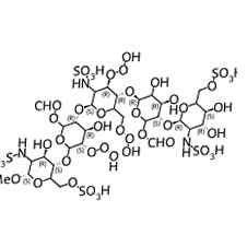 CO[C@H]1OC(COS(=O)(=O)O)[C@@H](OC2OC(OC=O)[C@H](O[C@@H]3OC(COOO)[C@@H](O[C@@H]4OC(OC=O)[C@@H](O[C@H]5OC(COS(=O)(=O)O)[C@@H](O)[C@H](O)C5NS(=O)(=O)O)[C@H](O)C4O)[C@H](OOO)C3NS(=O)(=O)O)[C@@H](O)[C@@H]2OOO)[C@H](O)C1NS(=O)(=O)O